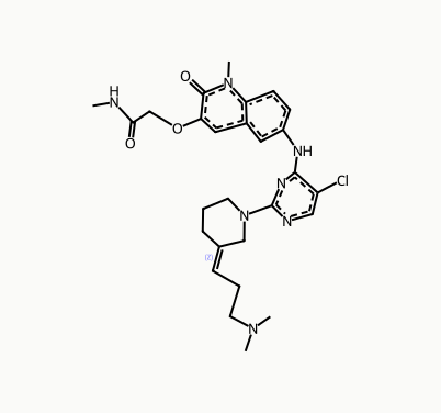 CNC(=O)COc1cc2cc(Nc3nc(N4CCC/C(=C/CCN(C)C)C4)ncc3Cl)ccc2n(C)c1=O